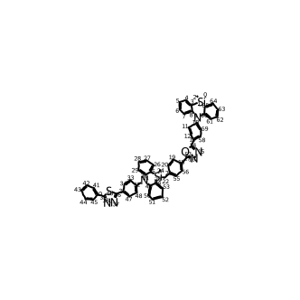 C[Si]1(C)c2ccccc2N(c2ccc(-c3nnc(-c4ccc(C[Si]5(C)c6ccccc6N(c6ccc(-c7nnc(-c8ccccc8)s7)cc6)c6ccccc65)cc4)o3)cc2)c2ccccc21